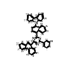 c1ccc(-c2nc(-c3ccc(-n4c5ccccc5c5ccccc54)c4ccccc34)nc(-c3cc4ccccc4c4ccccc34)n2)cc1